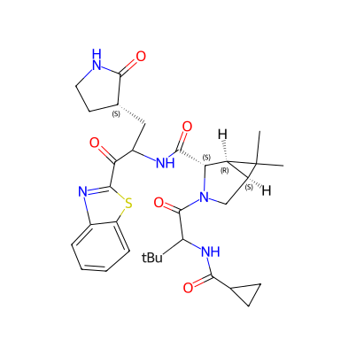 CC(C)(C)C(NC(=O)C1CC1)C(=O)N1C[C@H]2[C@@H]([C@H]1C(=O)NC(C[C@@H]1CCNC1=O)C(=O)c1nc3ccccc3s1)C2(C)C